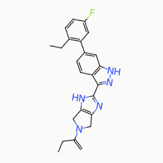 C=C(CC)N1Cc2nc(-c3n[nH]c4cc(-c5cc(F)ccc5CC)ccc34)[nH]c2C1